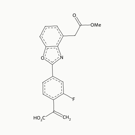 C=C(C(=O)O)c1ccc(-c2nc3c(CC(=O)OC)cccc3o2)cc1F